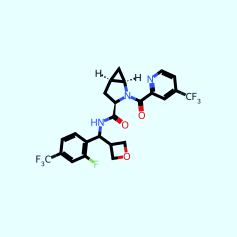 O=C(NC(c1ccc(C(F)(F)F)cc1F)C1COC1)[C@H]1C[C@H]2C[C@H]2N1C(=O)c1cc(C(F)(F)F)ccn1